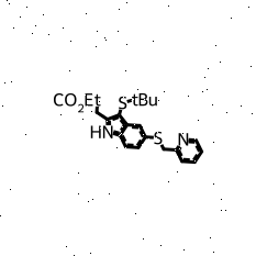 CCOC(=O)Cc1[nH]c2ccc(SCc3ccccn3)cc2c1SC(C)(C)C